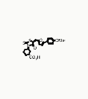 COc1ccc(-c2ccc(/C=C3/SC(=S)N(C4CCCC(C(=O)O)C4)C3=O)o2)cc1